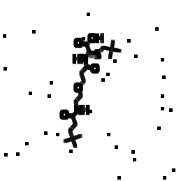 CC(C)(C)CCC(=O)NCCOCCC(=O)N[C@@H](SCC(C)(C)C)C(=O)O